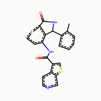 Cc1ccccc1C1NC(=O)c2cccc(NC(=O)c3csc4cnccc34)c21